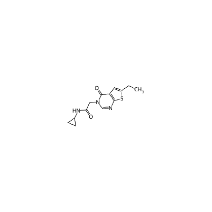 CCc1cc2c(=O)n(CC(=O)NC3CC3)cnc2s1